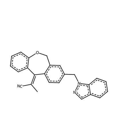 CC(C#N)=C1c2ccc(Cn3ncc4ccccc43)cc2COc2ccccc21